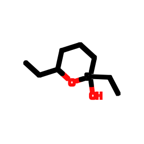 CCC1CCC[Si](O)(CC)O1